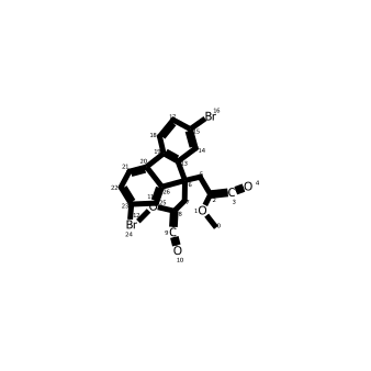 COC(=C=O)CC1(CC(=C=O)OC)c2cc(Br)ccc2-c2ccc(Br)cc21